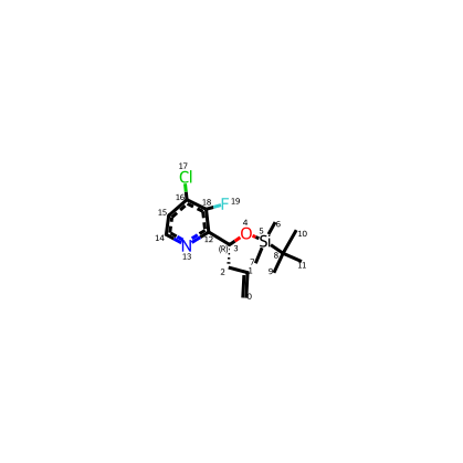 C=CC[C@@H](O[Si](C)(C)C(C)(C)C)c1nccc(Cl)c1F